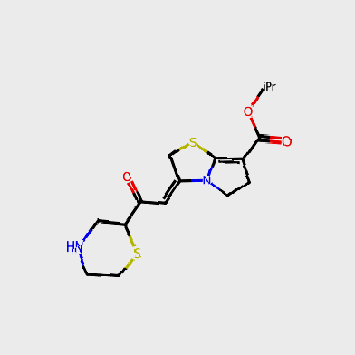 CC(C)OC(=O)C1=C2SCC(=CC(=O)C3CNCCS3)N2CC1